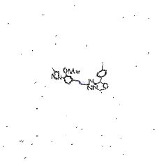 COc1cc(/C=C/c2nc3n(n2)CCOC3c2ccc(C)cc2)ccc1-n1cnc(C)c1